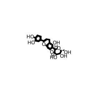 OC[C@H]1O[C@H]2c3c(cc4c(c3O)CC=C(c3ccc(O)c(O)c3)O4)O[C@H]2[C@@H](O)[C@@H]1O